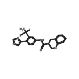 CC(F)(I)c1cc(NC(=O)C2COc3ccccc3C2)ccc1-c1cnco1